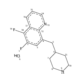 Cl.Fc1cc(CC2CCNCC2)c2ncccc2c1F